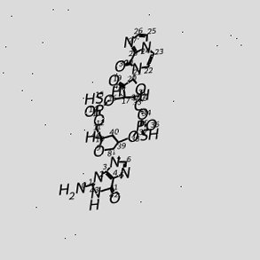 Nc1nc2c(ncn2[C@@H]2O[C@@H]3COP(=O)(S)O[C@H]4C(=O)[C@H](n5ccn6ccnc6c5=O)O[C@@H]4COP(=O)(S)OC2C3)c(=O)[nH]1